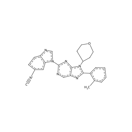 [C-]#[N+]c1ccc2ncn(-c3ncc4nc(-c5ccccc5C)n(C5CCOCC5)c4n3)c2c1